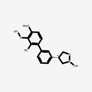 CCCOc1c(OC)ccc(-c2cccc([C@@H]3COB(O)C3)c2)c1C#N